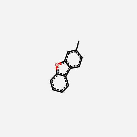 Cc1[c]cc2c(c1)oc1ccccc12